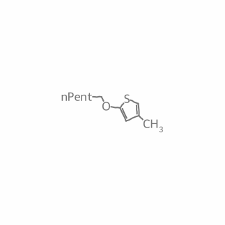 CCCCCCOc1cc(C)cs1